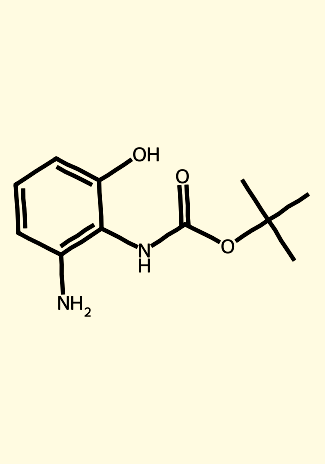 CC(C)(C)OC(=O)Nc1c(N)cccc1O